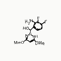 COC1=CC(OC)=NN(C(O)c2ccc(F)c(F)c2N)N1